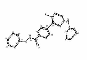 Cc1cnc(Nc2ccccc2)nc1-c1ccc(C(=O)NCc2ccccc2)cc1